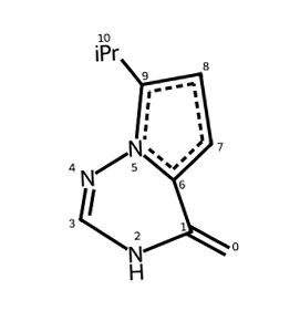 C=C1NC=Nn2c1ccc2C(C)C